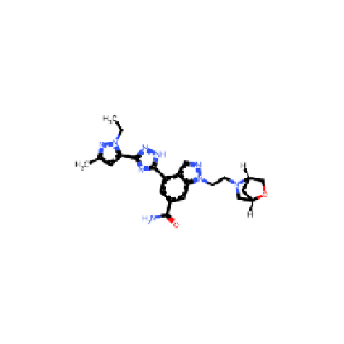 CCn1nc(C)cc1-c1n[nH]c(-c2cc(C(N)=O)cc3c2cnn3CCN2C[C@@H]3C[C@H]2CO3)n1